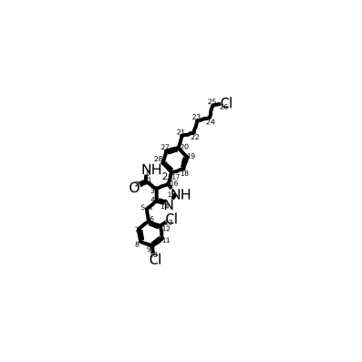 NC(=O)C1C([CH]c2ccc(Cl)cc2Cl)=NNC1c1ccc(CCCCCCl)cc1